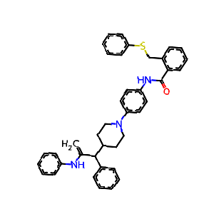 C=C(Nc1ccccc1)C(c1ccccc1)C1CCN(c2ccc(NC(=O)c3ccccc3CSc3ccccc3)cc2)CC1